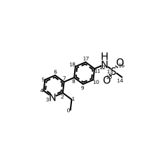 CCc1ncccc1-c1ccc(NS(C)(=O)=O)cc1